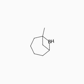 CC12BC(CCCC1)C2